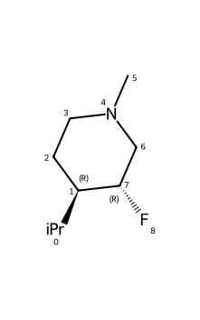 CC(C)[C@H]1CCN(C)C[C@@H]1F